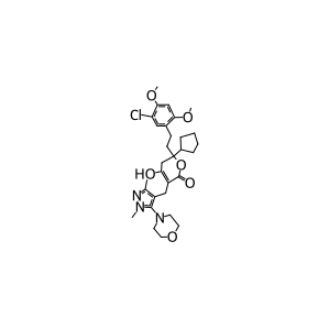 COc1cc(OC)c(CCC2(C3CCCC3)CC(O)=C(Cc3c(C)nn(C)c3N3CCOCC3)C(=O)O2)cc1Cl